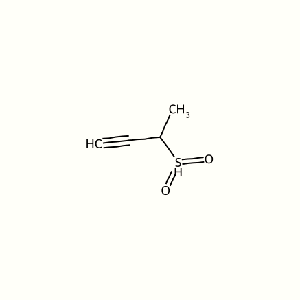 C#CC(C)[SH](=O)=O